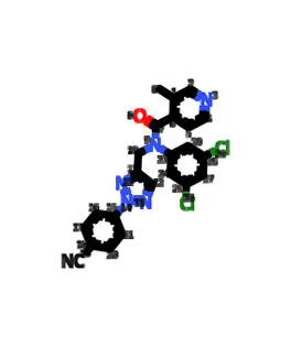 Cc1cnccc1C(=O)N(Cc1cnn(-c2ccc(C#N)cc2)n1)c1cc(Cl)cc(Cl)c1